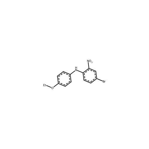 CCOc1ccc(Nc2ccc(Br)cc2[N+](=O)[O-])cc1